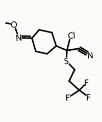 CON=C1CCC(C(Cl)(C#N)SCCC(F)(F)F)CC1